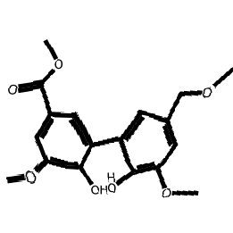 COCc1cc(OC)c(O)c(-c2cc(C(=O)OC)cc(OC)c2O)c1